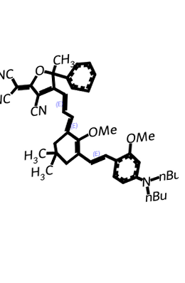 CCCCN(CCCC)c1ccc(/C=C/C2=C(OC)C(=C/C=C/C3=C(C#N)C(=C(C#N)C#N)OC3(C)c3ccccc3)/CC(C)(C)C2)c(OC)c1